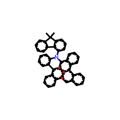 CC1(C)c2ccccc2-c2c(N(c3ccccc3-c3cccc4ccccc34)c3cc4ccc5ccccc5c4c4ccccc34)cccc21